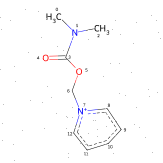 CN(C)C(=O)OC[n+]1ccccc1